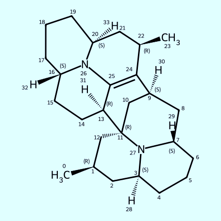 C[C@@H]1C[C@@H]2CCC[C@H]3C[C@H]4C[C@](C1)([C@H]1CC[C@@H]5CCC[C@H]6C[C@@H](C)C4=C1N56)N23